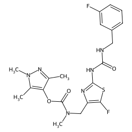 Cc1nn(C)c(C)c1OC(=O)N(C)Cc1nc(NC(=O)NCc2cccc(F)c2)sc1F